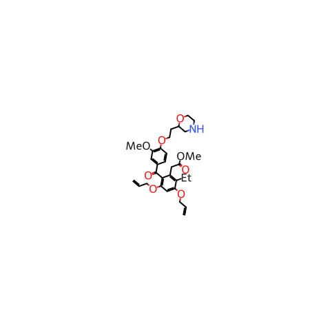 C=CCOc1cc(OCC=C)c(C(=O)c2ccc(OCCC3CNCCO3)c(OC)c2)c(CC(=O)OC)c1CC